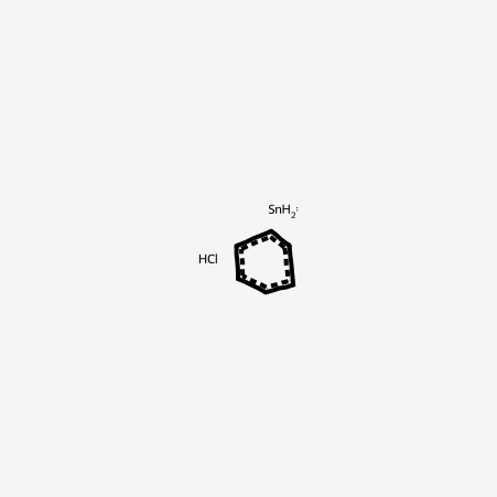 Cl.[SnH2].c1ccccc1